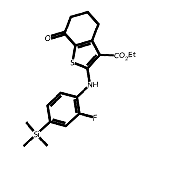 CCOC(=O)c1c(Nc2ccc([Si](C)(C)C)cc2F)sc2c1CCCC2=O